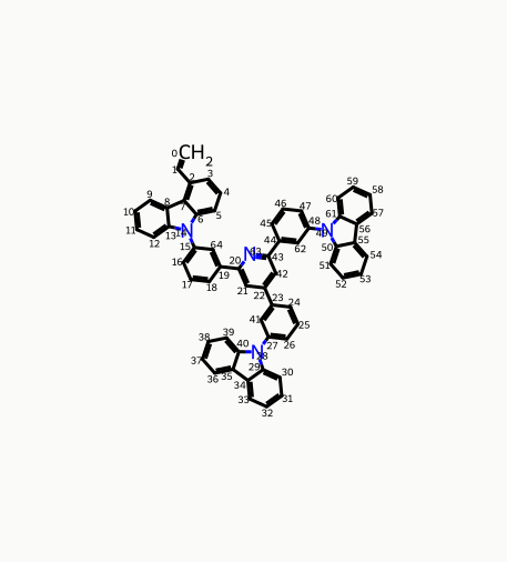 C=Cc1cccc2c1c1ccccc1n2-c1cccc(-c2cc(-c3cccc(-n4c5ccccc5c5ccccc54)c3)cc(-c3cccc(-n4c5ccccc5c5ccccc54)c3)n2)c1